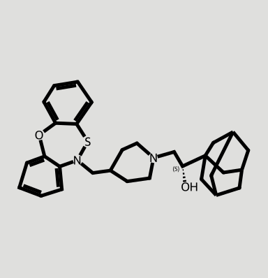 O[C@H](CN1CCC(Cn2sc3ccccc3oc3ccccc32)CC1)C12CC3CC(CC(C3)C1)C2